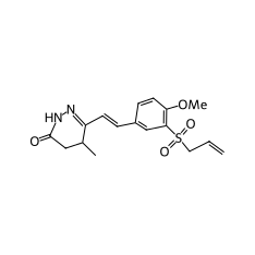 C=CCS(=O)(=O)c1cc(C=CC2=NNC(=O)CC2C)ccc1OC